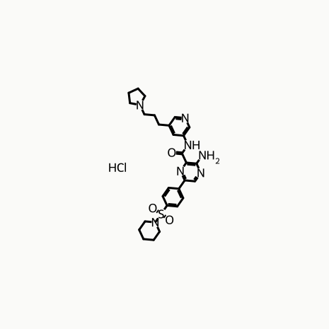 Cl.Nc1ncc(-c2ccc(S(=O)(=O)N3CCCCC3)cc2)nc1C(=O)Nc1cncc(CCCN2CCCC2)c1